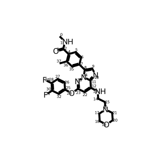 CNC(=O)c1ccc(-c2cnc3c(NCCN4CCOCC4)cc(Oc4ccc(F)c(F)c4)nn23)cc1C